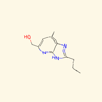 CCCc1nc2c(C)cc(CO)nc2[nH]1